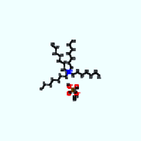 CCCCCCC[N+](CCCCCCC)(CCCCCCC)CCCCCCC.O=S(=O)([O-])[O-].[H+]